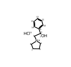 Cl.OC(CN1CCCC1)c1ccccc1